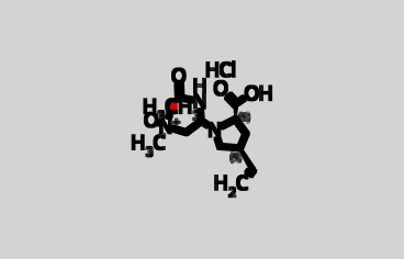 C=C[C@@H]1C[C@@H](C(=O)O)N(C(C[N+](C)(C)[O-])NC(C)=O)C1.Cl